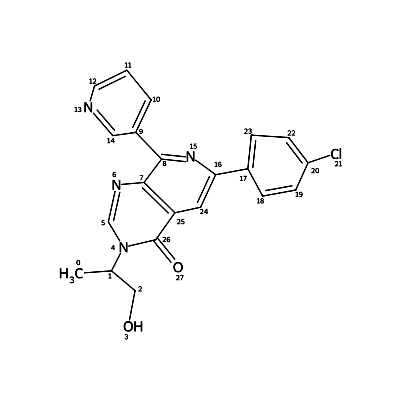 CC(CO)n1cnc2c(-c3cccnc3)nc(-c3ccc(Cl)cc3)cc2c1=O